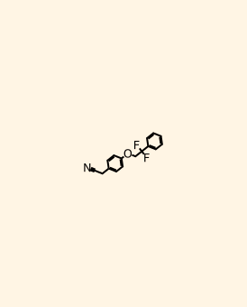 N#CCc1ccc(OCC(F)(F)c2ccccc2)cc1